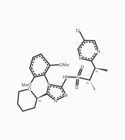 COc1cccc(OC)c1-n1c(NS(=O)(=O)[C@@H](C)[C@H](C)c2ncc(Cl)cn2)nnc1[C@H]1CCCCO1